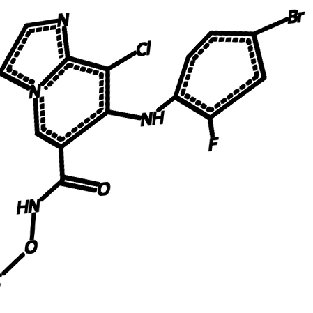 CONC(=O)c1cn2ccnc2c(Cl)c1Nc1ccc(Br)cc1F